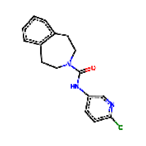 O=C(Nc1ccc(Cl)nc1)N1CCc2ccccc2CC1